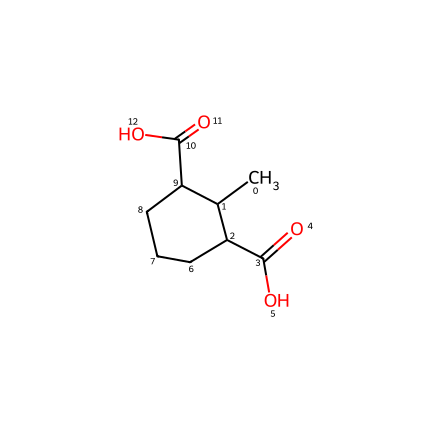 CC1C(C(=O)O)CCCC1C(=O)O